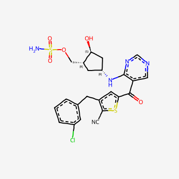 N#Cc1sc(C(=O)c2cncnc2N[C@@H]2C[C@H](COS(N)(=O)=O)[C@@H](O)C2)cc1Cc1cccc(Cl)c1